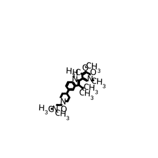 COc1c(C)c(-c2[nH]c3ccc(C4CCN(C(=O)CN(C)C)CC4)cc3c2C(C)C)cn(C)c1=O